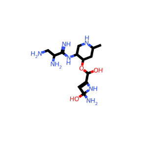 CC1CC(OC(O)C2=CC(N)(O)N2)C(NC(=N)C(N)CN)CN1